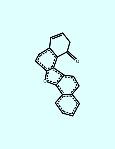 O=C1CC=Cc2ccc3oc4c5ccccc5ccc4c3c21